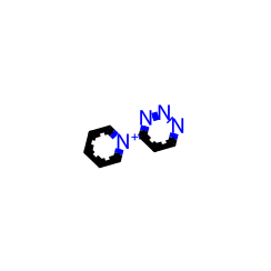 c1cc[n+](-c2ccnnn2)cc1